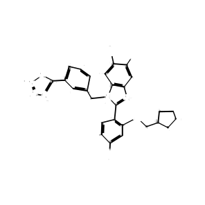 Fc1cc2nc(-c3ccc(Cl)cc3OCC3CCCC3)n(Cc3cccc(-c4nnn[nH]4)c3)c2cc1F